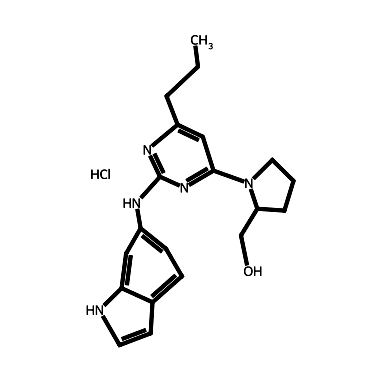 CCCc1cc(N2CCCC2CO)nc(Nc2ccc3cc[nH]c3c2)n1.Cl